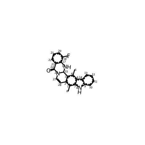 Cc1c2c(c(C)c3c1[nH]c1ccccc13)C1Nc3c(F)cccc3C(=O)N1C=C2